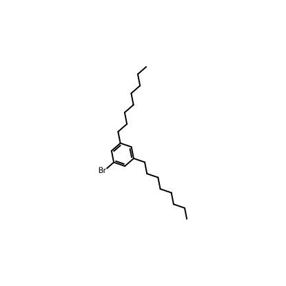 CCCCCCCCc1cc(Br)cc(CCCCCCCC)c1